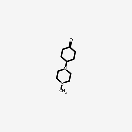 CN1CCN(C2CCC(=O)CC2)CC1